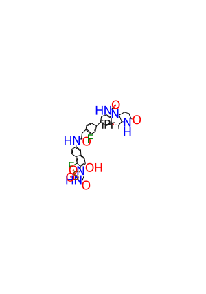 CC(C)[C@@H](C)C1NC(=O)CCC1n1c(=O)[nH]c2cc(-c3ccc(CC(=O)Nc4ccc5c(F)c(N6CC(=O)NS6(=O)=O)c(O)cc5c4)c(F)c3)ccc21